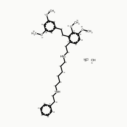 COc1cc(CCc2c(CCNCCCCCCNCCc3ccccc3)ccc(OC)c2OC)cc(OC)c1.Cl.Cl